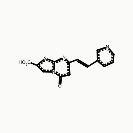 O=C(O)c1cn2c(=O)cc(/C=C/c3cccnc3)nc2s1